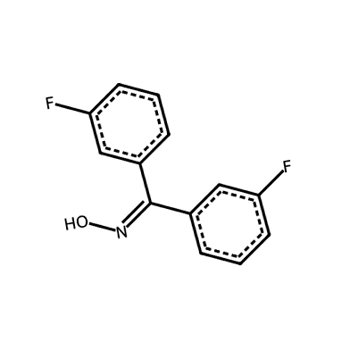 ON=C(c1cccc(F)c1)c1cccc(F)c1